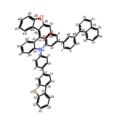 c1cc(-c2cccc(N(c3ccc(-c4ccc5c(c4)sc4ccccc45)cc3)c3ccccc3-c3cccc4oc5ccccc5c34)c2)cc(-c2cccc3ccccc23)c1